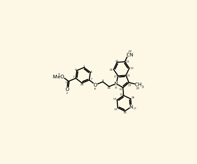 COC(=O)c1cccc(OCCn2c(-c3cccnc3)c(C)c3cc(C#N)ccc32)c1